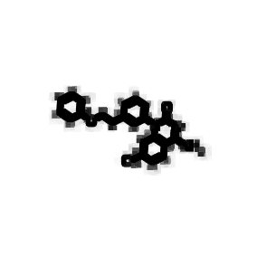 Nc1nc(=O)n(-c2cccc(CCOc3ccccc3)c2)c2cc(Cl)ccc12